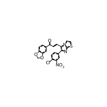 O=C(C=Cc1c(-c2ccc(Cl)c([N+](=O)[O-])c2)nc2sccn12)c1ccc2c(c1)OCO2